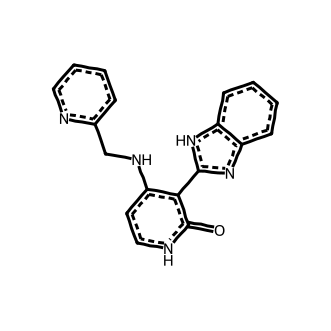 O=c1[nH]ccc(NCc2ccccn2)c1-c1nc2ccccc2[nH]1